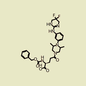 CC1CN(C(=O)CC[C@H](NC(=O)OCc2ccccc2)C(=O)O)CC(C)N1c1cccc(NC2=NCC(F)(F)CN2)c1